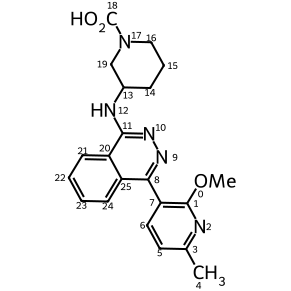 COc1nc(C)ccc1-c1nnc(NC2CCCN(C(=O)O)C2)c2ccccc12